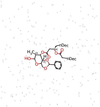 CCCCCCCCCCCC(=O)O[C@H](CCCCCCCCCCC)CC(=O)OC1[C@H](C)C(O)OC2COC(c3ccccc3)O[C@H]21